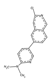 CN(C)c1ccc(-c2ccc3cnc(Cl)cc3c2)cn1